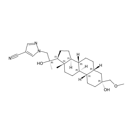 COC[C@@]1(O)CC[C@H]2[C@H](CC[C@@H]3[C@@H]2CC[C@@]2(C)[C@H]3CC[C@@H]2[C@@](C)(O)Cn2cc(C#N)cn2)C1